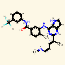 C=N/C=C\C=C(/C)c1nc(Nc2cc(C(=O)Nc3cccc(C(F)(F)F)c3)ccc2C)c2[nH]ccc2n1